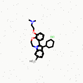 CN(C)CCOc1cccc2c1OCCn1c-2c(C2CCCCC2)c2ccc(C(=O)O)cc21.Cl